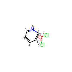 ClOCl.c1ccncc1